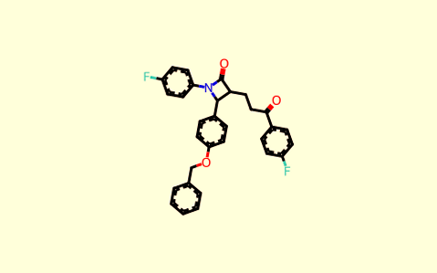 O=C(CCC1C(=O)N(c2ccc(F)cc2)C1c1ccc(OCc2ccccc2)cc1)c1ccc(F)cc1